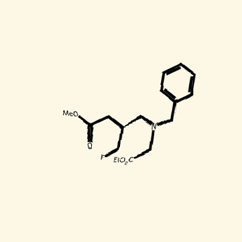 CCOC(=O)CN(Cc1ccccc1)C[C@@H](CF)CC(=O)OC